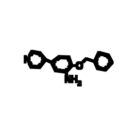 Nc1cc(-c2ccncc2)ccc1OCc1ccccc1